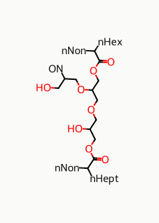 CCCCCCCCCC(CCCCCCC)C(=O)OCC(O)COCC(COC(=O)C(CCCCCC)CCCCCCCCC)OCC(CO)N=O